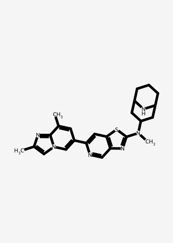 Cc1cn2cc(-c3cc4sc(N(C)C5CC6CCCC(C5)N6)nc4cn3)cc(C)c2n1